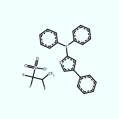 O=S(=O)([O-])C(F)(F)C(F)C(F)(F)F.c1ccc(-c2csc([S+](c3ccccc3)c3ccccc3)c2)cc1